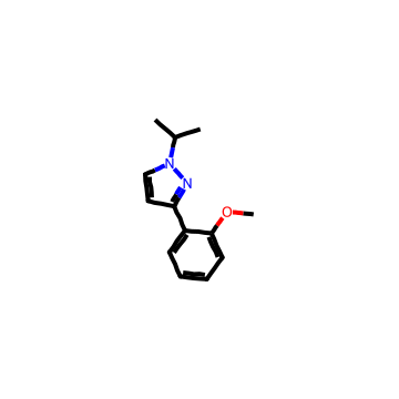 COc1ccccc1-c1ccn(C(C)C)n1